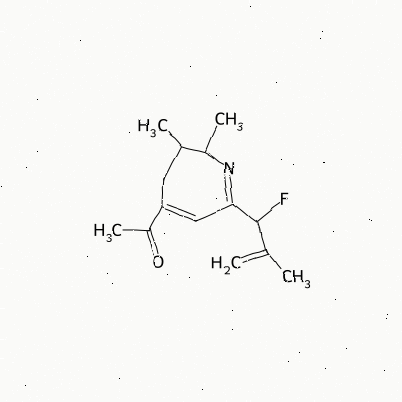 C=C(C)C(F)C1=NC(C)C(C)CC(C(C)=O)=C1